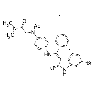 CC(=O)N(CC(=O)N(C)C)c1ccc(N/C(=C2\C(=O)Nc3cc(Br)ccc32)c2ccccc2)cc1